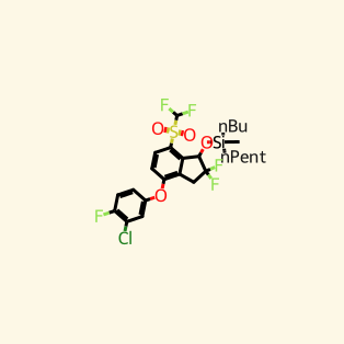 CCCCC[Si](C)(CCCC)OC1c2c(S(=O)(=O)C(F)F)ccc(Oc3ccc(F)c(Cl)c3)c2CC1(F)F